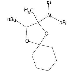 CCCCC1OC2(CCCCC2)OC1(C)N(CC)CCC